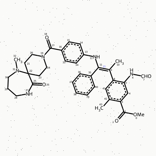 COC(=O)c1cc(NC=O)c(/C(C)=C(/Nc2ccc(C(=O)N3CCC4(CC3)C(=O)NCCCN4C)cc2)c2ccccc2)cc1C